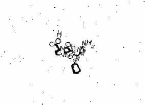 Nc1nc(/C(=N/OC2C=CCCC2)C(=O)NC2C(=O)N3C(C(=O)O)=CCS[C@H]23)ns1